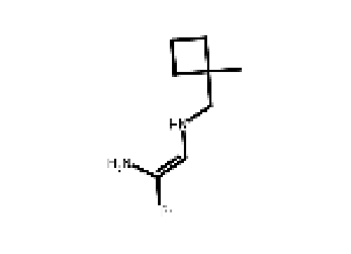 CC(C)/C(N)=C/NCC1(C)CCC1